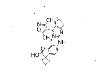 Cc1noc(C)c1-c1nc(Nc2ccc(C3(C(=O)O)CCC3)cc2)nc2c1CCC2